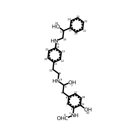 O=CNc1cc(CC(O)NCCc2ccc(NCC(O)c3ccccc3)cc2)ccc1O